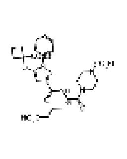 CCOC(=O)N1CCN(C(=O)[C@H](CCCC(=O)O)NC(=O)c2cc(OC3(C(=O)OCC)CCC3)n(-c3ccccc3)n2)CC1